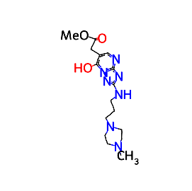 COC(=O)Cc1cnc2nc(NCCCN3CCN(C)CC3)nn2c1O